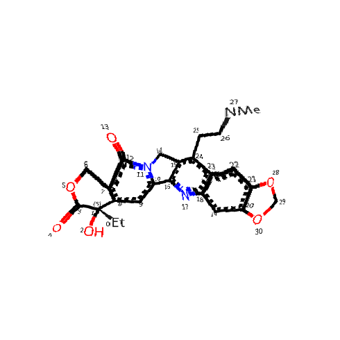 CC[C@@]1(O)C(=O)OCc2c1cc1n(c2=O)Cc2c-1nc1cc3c(cc1c2CCNC)OCO3